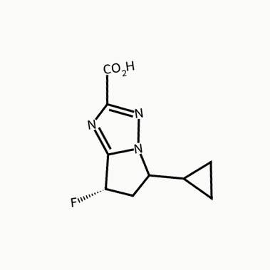 O=C(O)c1nc2n(n1)C(C1CC1)C[C@@H]2F